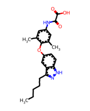 CCCCCc1n[nH]c2ccc(Oc3c(C)cc(NC(=O)C(=O)O)cc3C)cc12